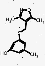 Cc1cc(O)cc(SCc2c(C)noc2C)c1